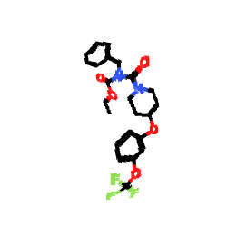 CCOC(=O)N(Cc1ccccc1)C(=O)N1CCC(Oc2cccc(OC(F)(F)F)c2)CC1